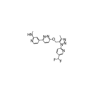 CNc1cc(-c2ccc(OCc3c(C)nnn3-c3ccc(C(F)F)cn3)nn2)ccn1